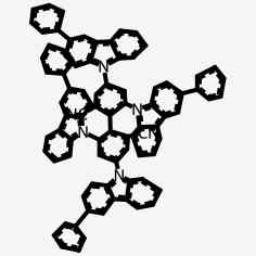 N#Cc1cc(-n2c3ccccc3c3cc(-c4ccccc4)ccc32)cc(-n2c3ccccc3c3cc(-c4ccccc4)ccc32)c1-c1c(C#N)cc(-n2c3ccccc3c3cc(-c4ccccc4)ccc32)cc1-n1c2ccccc2c2cc(-c3ccccc3)ccc21